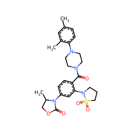 Cc1ccc(N2CCN(C(=O)c3ccc(N4C(=O)OCC4C)cc3N3CCCS3(=O)=O)CC2)c(C)c1